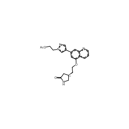 CC(=O)OCCn1cc(-c2cc(OCC[C@H]3CNC(=O)C3)c3cccnc3c2)cn1